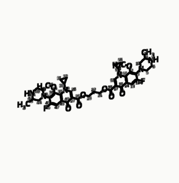 COc1c(N2CCNC(C)C2)c(F)cc2c(=O)c(C(=O)OC[CH]COC(=O)c3cn(C4CC4)c4c(OC)c(N5CCNC(C)C5)c(F)cc4c3=O)cn(C3CC3)c12